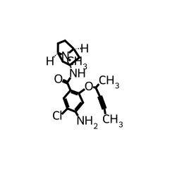 CC#CC(C)Oc1cc(N)c(Cl)cc1C(=O)N[C@@H]1C[C@H]2CC[C@@H](C1)N2C